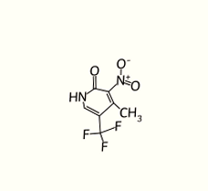 Cc1c(C(F)(F)F)c[nH]c(=O)c1[N+](=O)[O-]